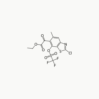 CCOC(=O)C(=O)c1c(C)cc2nc(Cl)sc2c1OS(=O)(=O)C(F)(F)F